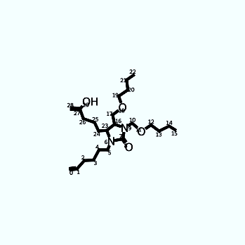 C=CCCCCN1C(=O)N(COCCCC)C(COCCCC)C1CCCC(=C)O